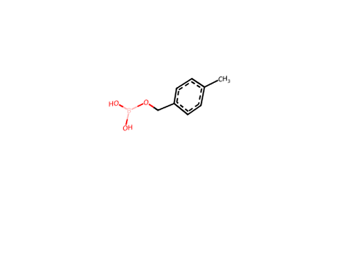 Cc1ccc(COB(O)O)cc1